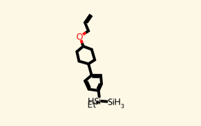 C=CCOC1CCC(c2ccc([SiH]([SiH3])CC)cc2)CC1